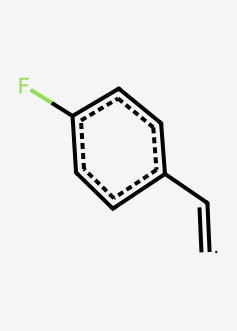 [CH]=Cc1ccc(F)cc1